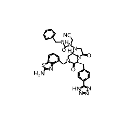 N#CCN(C(=O)NCc1ccccc1)N1CC(=O)N2[C@@H](Cc3ccc(-c4nnn[nH]4)cc3)C(=O)N(Cc3cccc4sc(N)nc34)C[C@@H]21